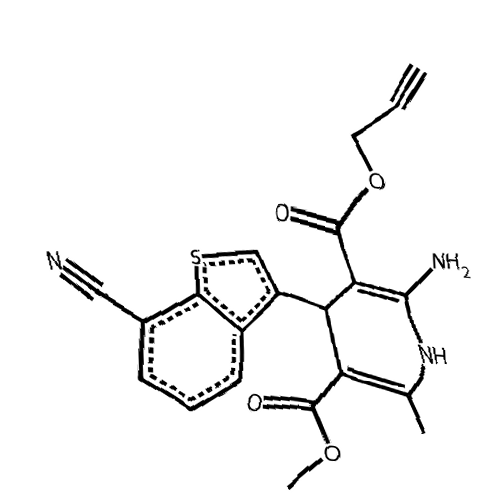 C#CCOC(=O)C1=C(N)NC(C)=C(C(=O)OC)C1c1csc2c(C#N)cccc12